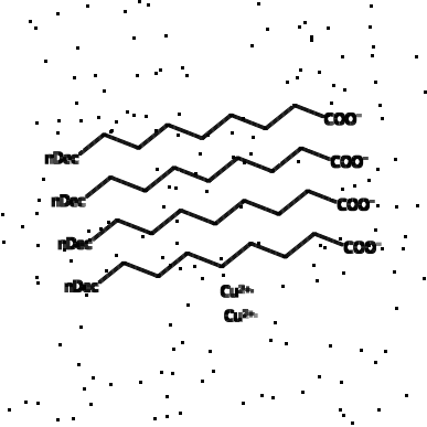 CCCCCCCCCCCCCCCCCC(=O)[O-].CCCCCCCCCCCCCCCCCC(=O)[O-].CCCCCCCCCCCCCCCCCC(=O)[O-].CCCCCCCCCCCCCCCCCC(=O)[O-].[Cu+2].[Cu+2]